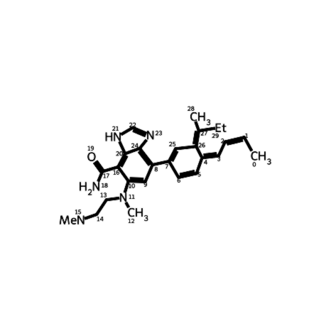 C\C=C/C=c1/ccc(-c2cc(N(C)CCNC)c(C(N)=O)c3[nH]cnc23)c/c1=C(\C)CC